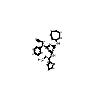 CC[C@@H](Nc1nc(NC2CCCCCC2)nc(N(CC#N)c2ccccc2)n1)C1CCCN1